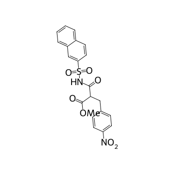 COC(=O)C(Cc1ccc([N+](=O)[O-])cc1)C(=O)NS(=O)(=O)c1ccc2ccccc2c1